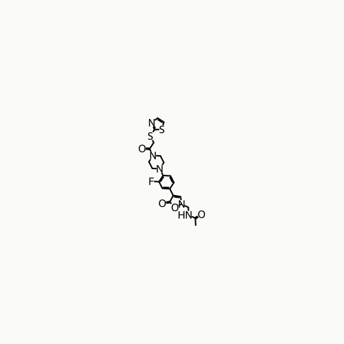 CC(=O)NCn1cc(-c2ccc(N3CCN(C(=O)CSc4nccs4)CC3)c(F)c2)c(=O)o1